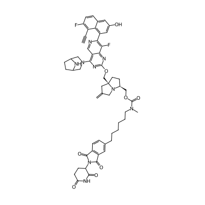 C#Cc1c(F)ccc2cc(O)cc(-c3ncc4c(N5CC6CCC(C5)N6)nc(OC[C@@]56CC[C@@H](COC(=O)N(C)CCCCCCc7ccc8c(c7)C(=O)N(C7CCC(=O)NC7=O)C8=O)N5CC(=C)C6)nc4c3F)c12